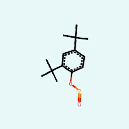 CC(C)(C)c1ccc(OP=O)c(C(C)(C)C)c1